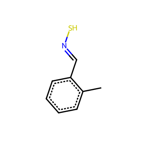 Cc1ccccc1C=NS